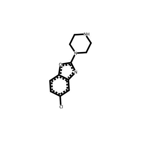 Clc1ccc2oc(N3CCNCC3)nc2c1